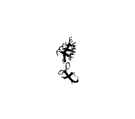 CCC(C)(C)C(=O)OCC(F)(F)C(F)(F)C(F)(F)F